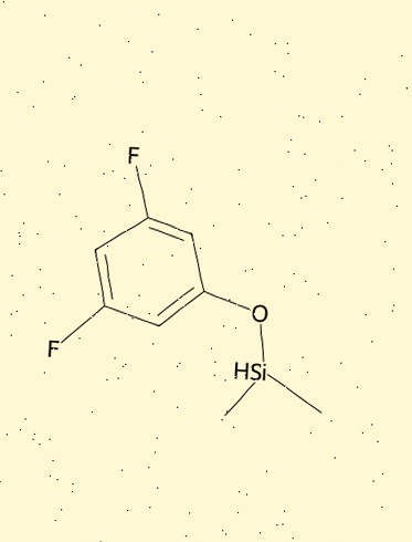 C[SiH](C)Oc1cc(F)cc(F)c1